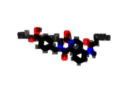 COCC(=O)N(C)c1cccc2c1CCN(C(=O)OC(C)(C)C)C2C(=O)NCc1ccc(C(=O)OC(C)(C)C)cc1